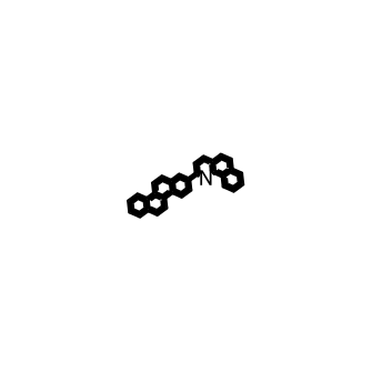 c1ccc2c(c1)ccc1c3ccc(-c4ccc5ccc6ccccc6c5n4)cc3ccc21